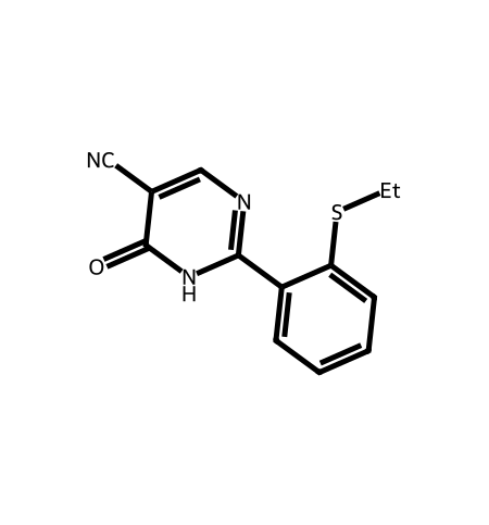 CCSc1ccccc1-c1ncc(C#N)c(=O)[nH]1